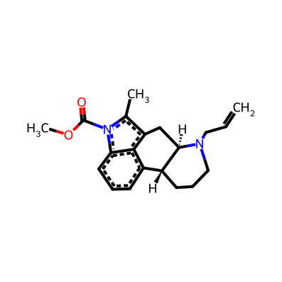 C=CCN1CCC[C@@H]2c3cccc4c3c(c(C)n4C(=O)OC)C[C@H]21